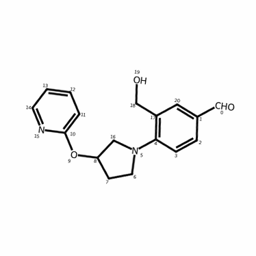 O=Cc1ccc(N2CCC(Oc3ccccn3)C2)c(CO)c1